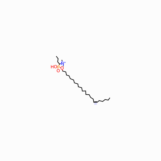 CCCCC/C=C\CCCCCCCCCCCCCCCCOP(=O)(O)C(CCC)[N+](C)(C)C